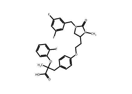 CN1C(=O)N(Cc2cc(F)cc(F)c2)CC1CCOc1ccc(CC(C)(Oc2ccccc2F)C(=O)O)cc1